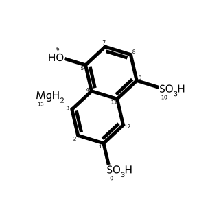 O=S(=O)(O)c1ccc2c(O)ccc(S(=O)(=O)O)c2c1.[MgH2]